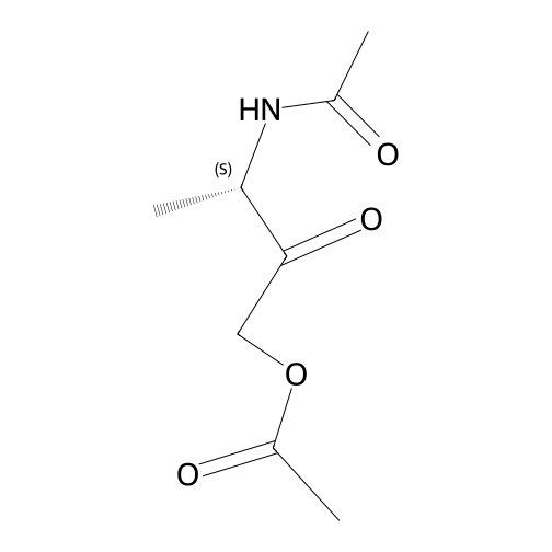 CC(=O)N[C@@H](C)C(=O)COC(C)=O